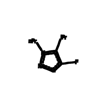 CCCn1n[c]c(F)c1C(C)C